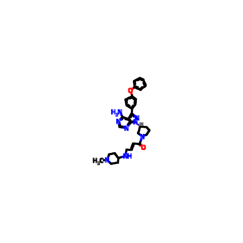 CN1CCC(NCC=CC(=O)N2CCC[C@@H](n3nc(-c4ccc(Oc5ccccc5)cc4)c4c(N)ncnc43)C2)CC1